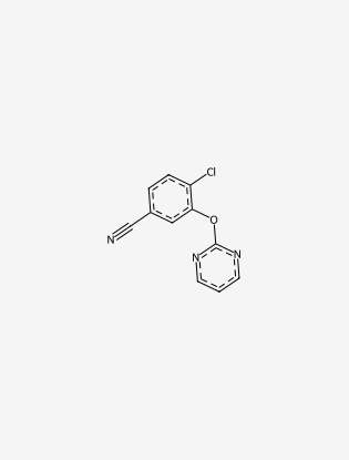 N#Cc1ccc(Cl)c(Oc2ncccn2)c1